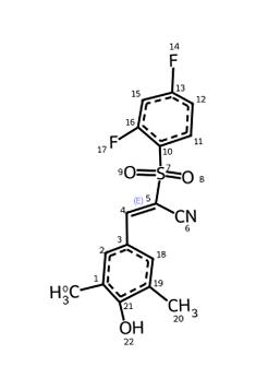 Cc1cc(/C=C(\C#N)S(=O)(=O)c2ccc(F)cc2F)cc(C)c1O